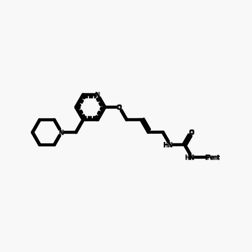 CCCC(C)NC(=O)NCC=CCOc1cc(CN2CCCCC2)ccn1